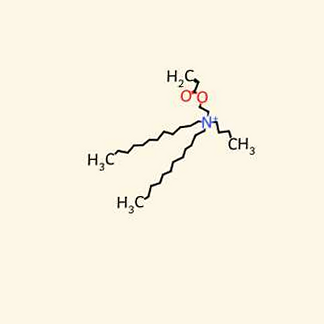 C=CC(=O)OCC[N+](CCCC)(CCCCCCCCCCCC)CCCCCCCCCCCC